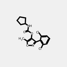 Cc1onc(-c2c(Cl)cccc2Cl)c1OC(=O)NC1CCCC1